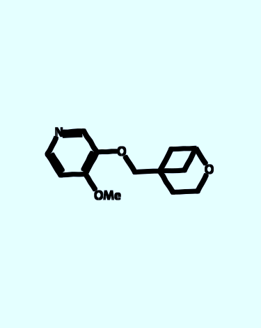 COc1ccncc1OCC12CCOC(C1)C2